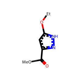 CCOc1cc(C(=O)OC)n[nH]1